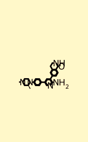 C[C@H]1CN(C)CCN1c1ccc(-c2cnc(N)c(-c3ccc4c(c3)CCNC4=O)c2)cc1